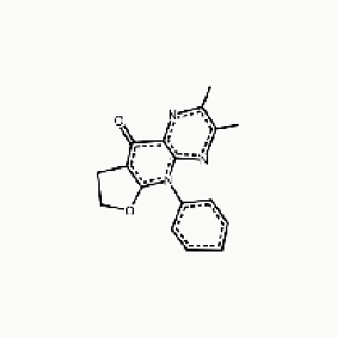 Cc1nc2c(=O)c3c(n(-c4ccccc4)c2nc1C)OCC3